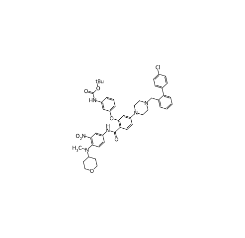 CN(c1ccc(NC(=O)c2ccc(N3CCN(Cc4ccccc4-c4ccc(Cl)cc4)CC3)cc2Oc2cccc(NC(=O)OC(C)(C)C)c2)cc1[N+](=O)[O-])C1CCOCC1